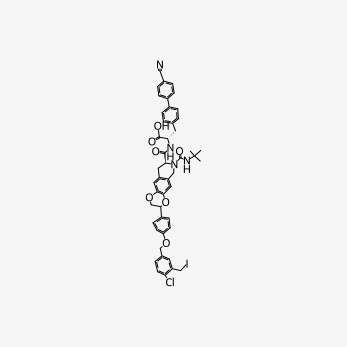 CC(C)(C)NC(=O)N1Cc2cc3c(cc2C[C@H]1C(=O)N[C@@H](Cc1ccc(-c2ccc(C#N)cc2)cc1)C(=O)O)OCC(c1ccc(OCc2ccc(Cl)c(CI)c2)cc1)O3